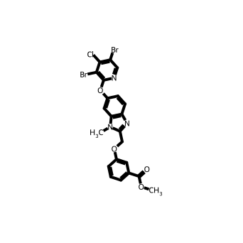 COC(=O)c1cccc(OCc2nc3ccc(Oc4ncc(Br)c(Cl)c4Br)cc3n2C)c1